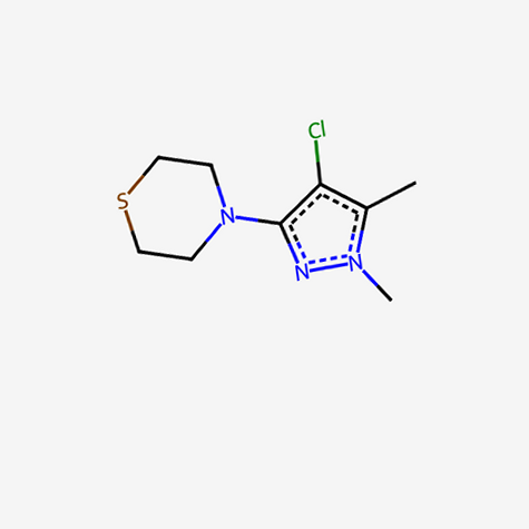 Cc1c(Cl)c(N2CCSCC2)nn1C